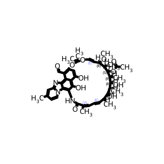 CO[C@H]1/C=C/OC(C)(C)Oc2cc(O)c3c(O)c(c4c(nc5cc(C)ccn54)c3c2C=O)NC(=O)/C(C)=C\C=C\[C@H](C)[C@H](O)[C@@H](C)[C@@H](O)[C@@H](C)[C@H](OC(C)=O)[C@@H]1C